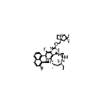 C#Cc1c(F)ccc2cccc(-c3nc4c5c(nc(OCC67CCN6CC(F)(F)C7)nc5c3F)N3C[C@@H]3N[C@@H](CC)C[C@H](C)O4)c12